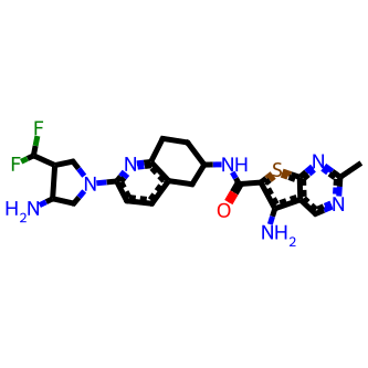 Cc1ncc2c(N)c(C(=O)NC3CCc4nc(N5CC(N)C(C(F)F)C5)ccc4C3)sc2n1